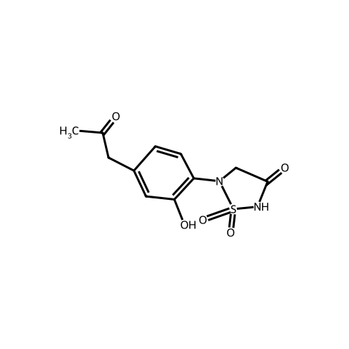 CC(=O)Cc1ccc(N2CC(=O)NS2(=O)=O)c(O)c1